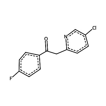 O=C(Cc1ccc(Cl)cn1)c1ccc(F)cc1